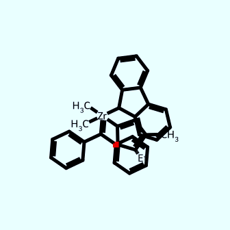 CCC1=C(C)C=[C]([Zr]([CH3])([CH3])(=[C](c2ccccc2)c2ccccc2)[CH]2c3ccccc3-c3ccccc32)C1